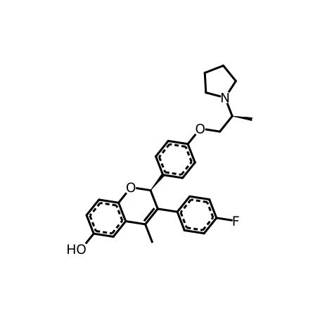 CC1=C(c2ccc(F)cc2)[C@H](c2ccc(OC[C@H](C)N3CCCC3)cc2)Oc2ccc(O)cc21